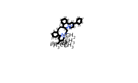 C=C1CC2C(CCc3ccccc3-c3cc(CC(C)C)c([Si](C)(C)C)c[n+]31)c1ccccc1-c1cc(-c3ccccc3)cc[n+]12